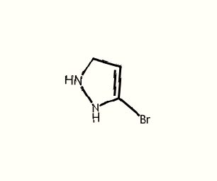 BrC1=CCNN1